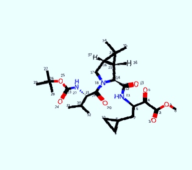 COC(=O)C(=O)C(CC1CC1)NC(=O)[C@@H]1[C@@H]2[C@H](CN1C(=O)[C@@H](NC(=O)OC(C)(C)C)C(C)C)C2(C)C